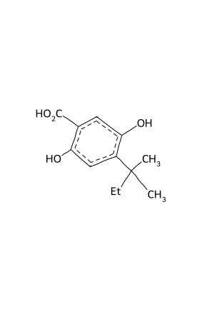 CCC(C)(C)c1cc(O)c(C(=O)O)cc1O